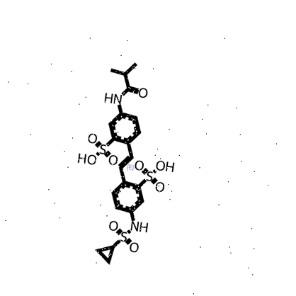 CC(C)C(=O)Nc1ccc(/C=C/c2ccc(NS(=O)(=O)C3CC3)cc2S(=O)(=O)O)c(S(=O)(=O)O)c1